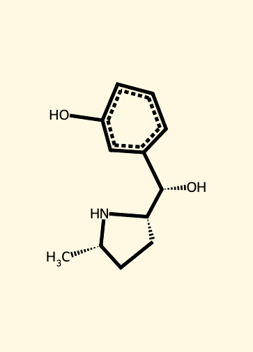 C[C@H]1CC[C@@H]([C@@H](O)c2cccc(O)c2)N1